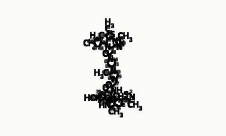 Cc1ncsc1-c1ccc(C(C)NC(=O)[C@@H]2C[C@@H](O)CN2C(=O)[C@@H](NC(=O)CN2CCN(C3CCN(C(=O)C[C@@H]4N=C(c5ccc(Cl)cc5)c5c(sc(C)c5C)-n5c(C)nnc54)CC3)[C@H](C)C2)C(C)(C)C)cc1